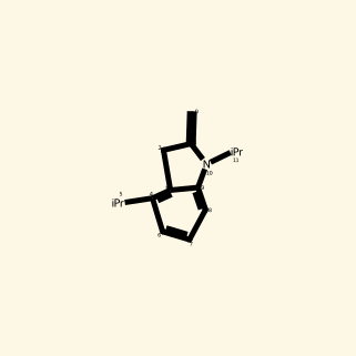 C=C1Cc2c(C(C)C)cccc2N1C(C)C